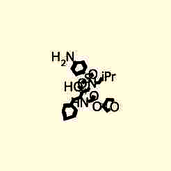 CC(C)CN(C[C@H](O)C(Cc1ccccc1)NC(=O)O[C@H]1CCOC1)S(=O)(=O)c1ccc(N)cc1